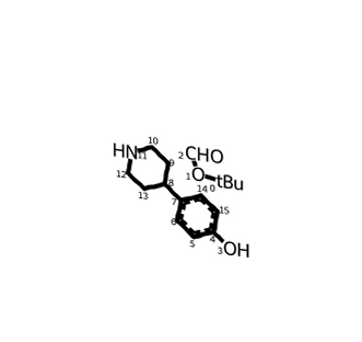 CC(C)(C)OC=O.Oc1ccc(C2CCNCC2)cc1